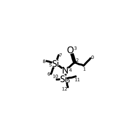 CCC(=O)N([Si](C)(C)C)[Si](C)(C)C